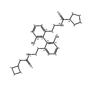 O=C(CC1CCC1)NCCc1cccc(O)c1-c1c(O)cccc1CCNC(=O)C1CCCC1